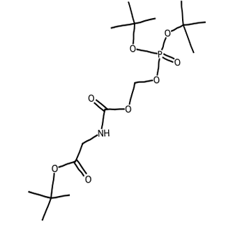 CC(C)(C)OC(=O)CNC(=O)OCOP(=O)(OC(C)(C)C)OC(C)(C)C